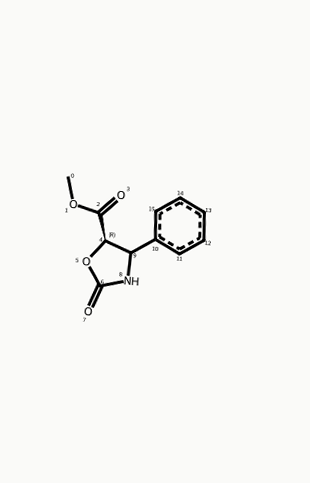 COC(=O)[C@@H]1OC(=O)NC1c1ccccc1